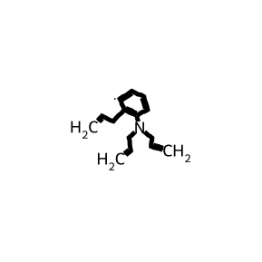 C=CCc1[c]cccc1N(CC=C)CC=C